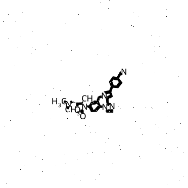 C[C@H]1[C@@H](CN(C)C)OC(=O)N1c1ccc2c(c1)Cn1cc(-c3ccc(C#N)cc3)cc1-c1nccn1-2